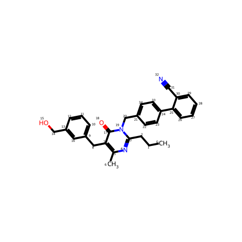 CCCc1nc(C)c(Cc2cccc(CO)c2)c(=O)n1Cc1ccc(-c2ccccc2C#N)cc1